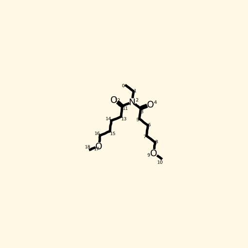 CCN(C(=O)CCCCOC)C(=O)CCCCOC